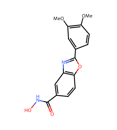 COc1ccc(-c2nc3cc(C(=O)NO)ccc3o2)cc1OC